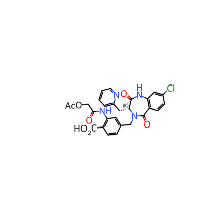 CC(=O)OCC(=O)Nc1cc(CN2C(=O)c3ccc(Cl)cc3NC(=O)[C@H]2Cc2ccccn2)ccc1C(=O)O